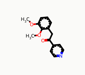 COc1cccc(CC(=O)c2ccncc2)c1OC